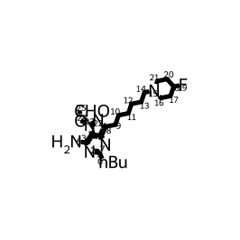 CCCCc1nc(N)c2c(n1)c(CCCCCCN1CCC(F)CC1)nn2OC=O